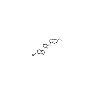 COc1ccc2c(c1)CCC2Nc1cncc(-n2cnc3cc(C#N)ccc32)n1